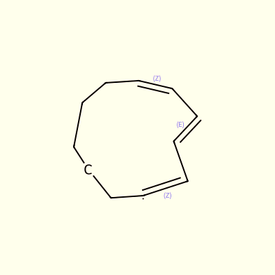 [C]1=C/C=C/C=C\CCCCC\1